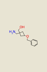 NCC1(CO)CC(OCc2ccccc2)C1